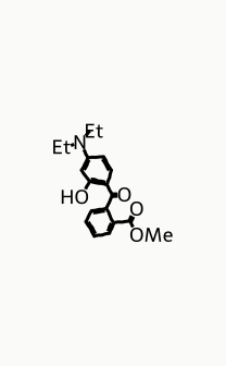 [CH2]OC(=O)c1ccccc1C(=O)c1ccc(N(CC)CC)cc1O